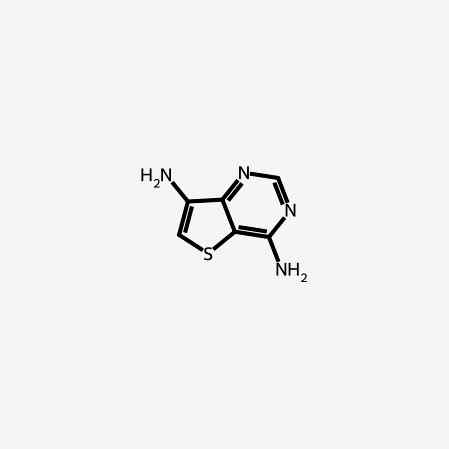 Nc1csc2c(N)ncnc12